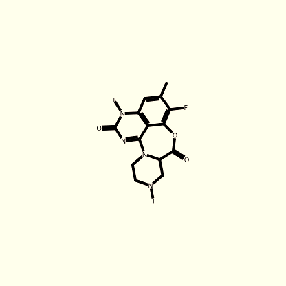 Cc1cc2c3c(nc(=O)n2I)N2CCN(I)CC2C(=O)Oc3c1F